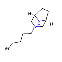 CC(C)CCCCN1C[C@H]2CC[C@@H](C1)N2